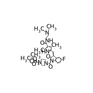 CCN(CC)CCNC(=O)c1c(C)[nH]c(/C=C2\C(=O)N(C(=O)N3CCN(C(=O)OC(C)(C)C)CC3)c3ccc(F)cc32)c1C